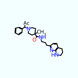 CC(=O)C(c1ccccc1)N1CCC(C)(C(=O)NCCCc2ccc3c(n2)NCCC3)CC1